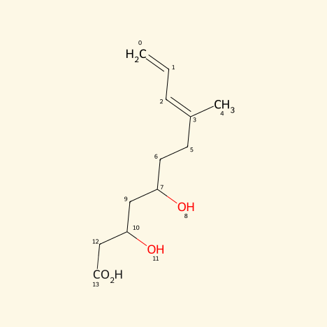 C=CC=C(C)CCC(O)CC(O)CC(=O)O